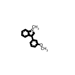 COc1cccc(-c2cn(C)c3ccccc23)c1